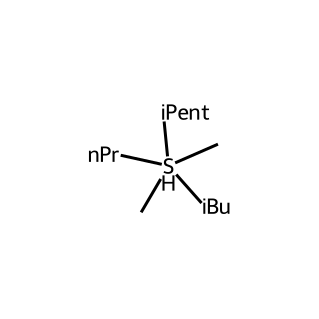 CCCC(C)[SH](C)(C)(CCC)C(C)CC